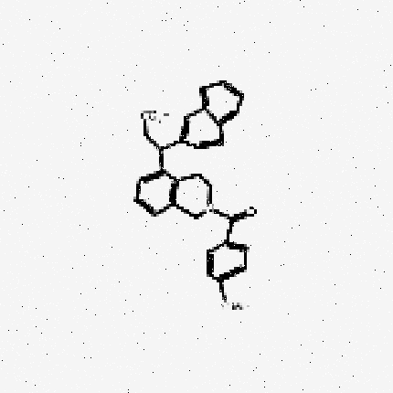 COc1ccc(C(=O)N2CCc3c(cccc3C(CC(=O)O)c3ccc4ccccc4c3)C2)cc1